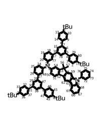 CC(C)(C)c1ccc(-c2cc(-c3ccc(C(C)(C)C)cc3)cc(-c3cccc(N(c4cccc(-c5cc(-c6ccc(C(C)(C)C)cc6)cc(-c6ccc(C(C)(C)C)cc6)c5)c4)c4ccc5c(c4)C(C)(C)c4cc6c(cc4-5)c4ccccc4n6-c4ccccc4)c3)c2)cc1